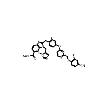 CCn1cncc1Cn1c(Cc2ccc(Oc3ccnc(COc4ccc(C#N)cc4F)n3)cc2F)nc2ccc(C(=O)OC)cc21